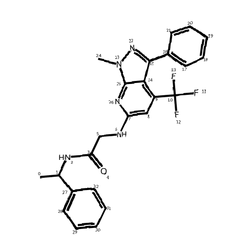 CC(NC(=O)CNc1cc(C(F)(F)F)c2c(-c3ccccc3)nn(C)c2n1)c1ccccc1